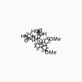 COc1ccc(C(OC[C@H](CNc2cc[nH]c(=O)n2)OCP(=O)(O)O)(c2ccccc2)c2ccc(OC)cc2)cc1